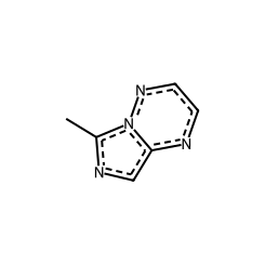 Cc1ncc2nccnn12